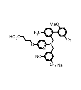 COc1ccc(C(C)C)cc1-c1ccc(C(F)(F)F)cc1CN(Cc1cc(C#N)cc(C(F)(F)F)c1)c1ccc(OCCCC(=O)O)cn1.[Na]